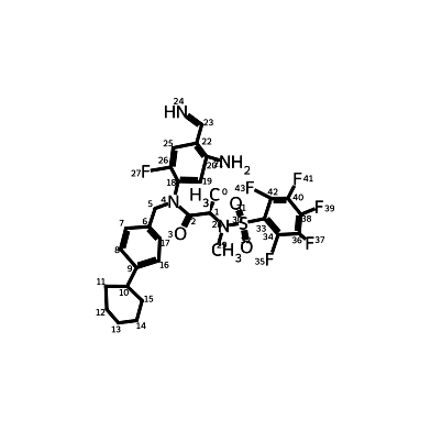 C[C@H](C(=O)N(Cc1ccc(C2CCCCC2)cc1)c1cc(N)c(C=N)cc1F)N(C)S(=O)(=O)c1c(F)c(F)c(F)c(F)c1F